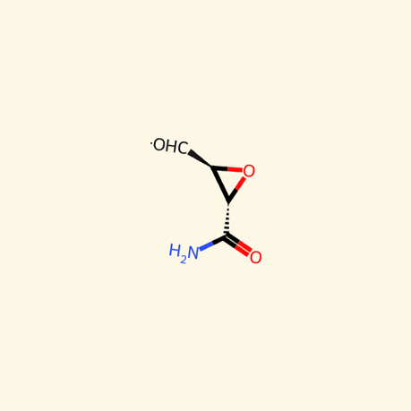 NC(=O)[C@H]1O[C@@H]1[C]=O